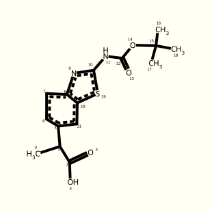 CC(C(=O)O)c1ccc2nc(NC(=O)OC(C)(C)C)sc2c1